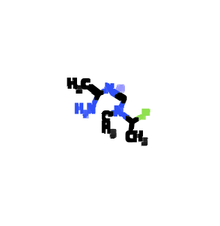 C=C(N)/N=C\N(C)C(C)F